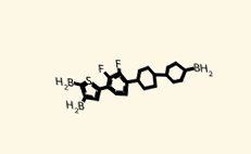 Bc1cc(-c2ccc(C3CCC(C4CCC(B)CC4)CC3)c(F)c2F)sc1B